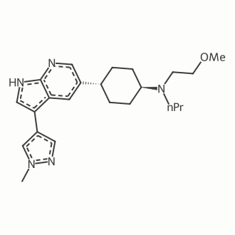 CCCN(CCOC)[C@H]1CC[C@H](c2cnc3[nH]cc(-c4cnn(C)c4)c3c2)CC1